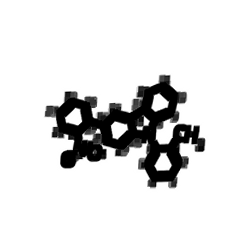 Cc1ccccc1-n1c2ccccc2c2cc(-c3ccccc3[N+](=O)[O-])ccc21